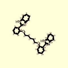 c1ccc(-c2nc3ccccc3[nH]2)c(OCCCCCOc2ccccc2-c2nc3ccccc3[nH]2)c1